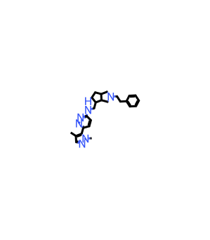 Cc1cnn(C)c1-c1ccc(NCC2CCC3CN(CCc4ccccc4)CC23)nn1